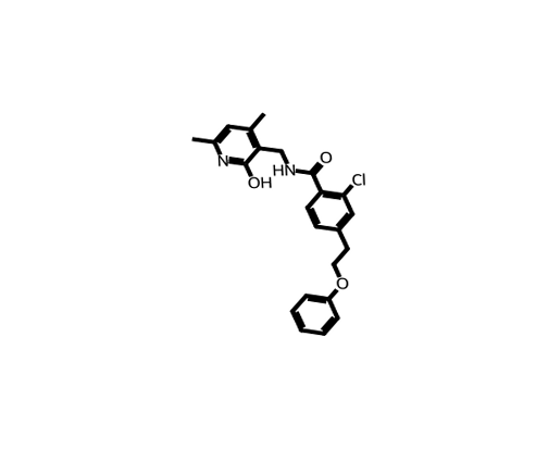 Cc1cc(C)c(CNC(=O)c2ccc(CCOc3ccccc3)cc2Cl)c(O)n1